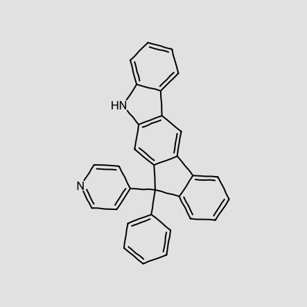 c1ccc(C2(c3ccncc3)c3ccccc3-c3cc4c(cc32)[nH]c2ccccc24)cc1